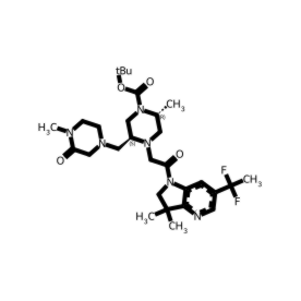 C[C@@H]1CN(CC(=O)N2CC(C)(C)c3ncc(C(C)(F)F)cc32)[C@@H](CN2CCN(C)C(=O)C2)CN1C(=O)OC(C)(C)C